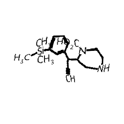 C#CC(c1cccc([Si](C)(C)C)c1)C1CNCCN1C(=O)O